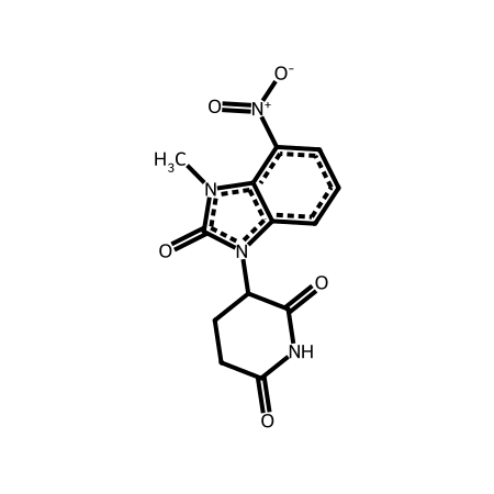 Cn1c(=O)n(C2CCC(=O)NC2=O)c2cccc([N+](=O)[O-])c21